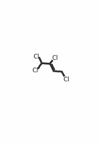 ClCC=C(Cl)C(Cl)Cl